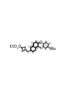 CCOC(=O)C1CN(Cc2ccc3c(I)c(O[C@H]4CC[C@H](C(C)(C)C)CC4)ccc3c2)C1